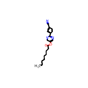 CCCCCCCCC(=O)Oc1cnc(-c2ccc(C#N)cc2)nc1